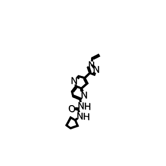 C=Cn1cc(-c2cnc3ccc(NC(=O)NC4CCCC4)nc3c2)cn1